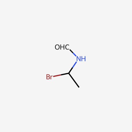 CC(Br)NC=O